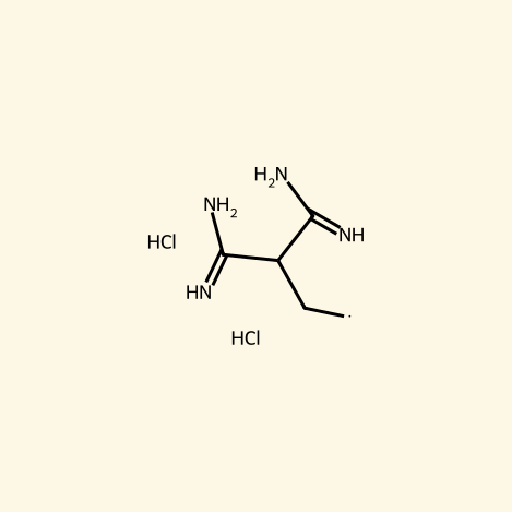 Cl.Cl.[CH2]CC(C(=N)N)C(=N)N